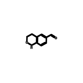 O=Cc1ccc2c(c1)CCOB2